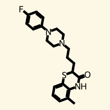 Cc1cccc2c1NC(=O)C(CCCN1CCN(c3ccc(F)cc3)CC1)S2